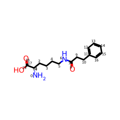 N[C@@H](CCCCNC(=O)CCc1ccccc1)C(=O)O